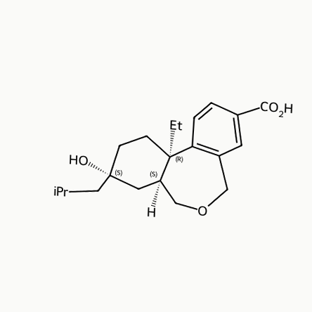 CC[C@@]12CC[C@](O)(CC(C)C)C[C@@H]1COCc1cc(C(=O)O)ccc12